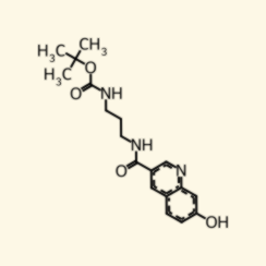 CC(C)(C)OC(=O)NCCCNC(=O)c1cnc2cc(O)ccc2c1